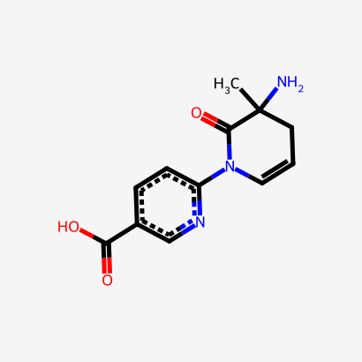 CC1(N)CC=CN(c2ccc(C(=O)O)cn2)C1=O